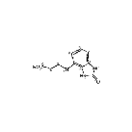 O=c1[nH]c2cccc([N]CCS(=O)(=O)O)c2[nH]1